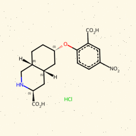 Cl.O=C(O)c1cc([N+](=O)[O-])ccc1O[C@H]1CC[C@H]2CN[C@H](C(=O)O)C[C@H]2C1